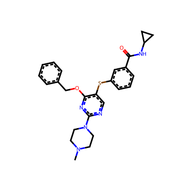 CN1CCN(c2ncc(Sc3cccc(C(=O)NC4CC4)c3)c(OCc3ccccc3)n2)CC1